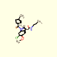 CCCNC(=O)Cc1c(C)n(C(=S)c2ccc(C)cc2)c2cc(Cl)c(OC)cc12